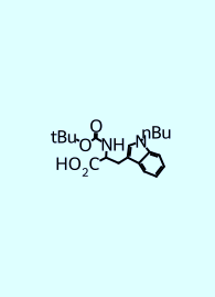 CCCCn1cc(CC(NC(=O)OC(C)(C)C)C(=O)O)c2ccccc21